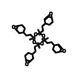 C[Si]1(CCC2C=C3OC3CC2)O[Si](C)(CCC2C=C3OC3CC2)O[Si](C)(CCC2CCC3OC3C2)O[Si](C)(CCC2CCC3OC3C2)O1